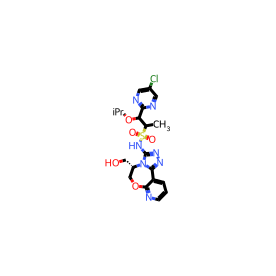 CC(C)OC(c1ncc(Cl)cn1)C(C)S(=O)(=O)Nc1nnc2n1[C@@H](CO)COc1ncccc1-2